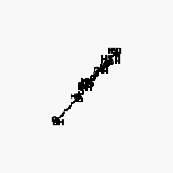 CN[C@@H](CCCCNC(=O)COCCOCCNC(=O)COCCOCCNC(=O)CC[C@H](NC(=O)[C@H]1CC[C@H](CNC(=O)CCCCCCCCCCCCCCCCCCC(=O)O)CC1)C(=O)O)C(=O)S